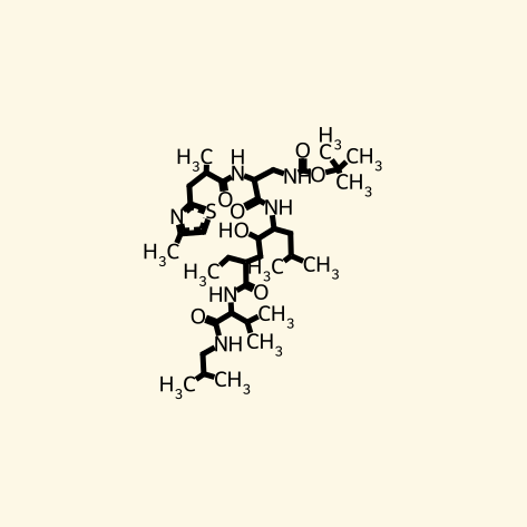 CCC(CC(O)C(CC(C)C)NC(=O)C(CNC(=O)OC(C)(C)C)NC(=O)C(C)Cc1nc(C)cs1)C(=O)NC(C(=O)NCC(C)C)C(C)C